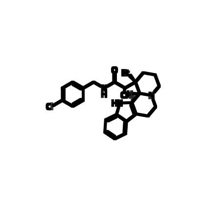 CC[C@@]1(C(C)C(=O)NCc2ccc(Cl)cc2)CCCN2CCc3c([nH]c4ccccc34)[C@@H]21